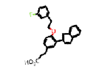 O=C(O)CCc1ccc(OCCc2cccc(F)c2)c(-c2ccc3ccccc3c2)c1